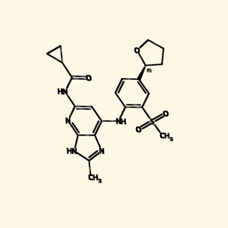 Cc1nc2c(Nc3ccc([C@@H]4CCCO4)cc3S(C)(=O)=O)cc(NC(=O)C3CC3)nc2[nH]1